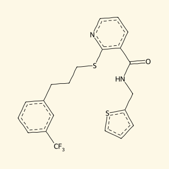 O=C(NCc1cccs1)c1cccnc1SCCCc1cccc(C(F)(F)F)c1